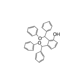 Oc1cccc(C(Oc2ccccc2)c2ccccc2)c1C(Oc1ccccc1)c1ccccc1